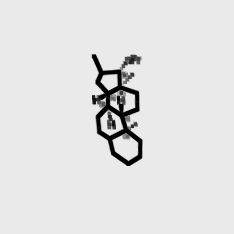 CCC[C@H]1C(C)C[C@H]2[C@@H]3CCC4CCCC[C@]4(C)[C@H]3CC[C@]12C